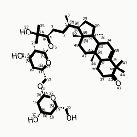 C[C@H](CC[C@@H](O[C@H]1C[C@@H](O)C[C@@H](CO[C@H]2C[C@@H](O)C[C@@H](CO)O2)O1)C(C)(C)O)[C@H]1CC[C@@]2(C)C3CC=C4C(CCC(=O)C4(C)C)[C@]3(C)CC[C@]12C